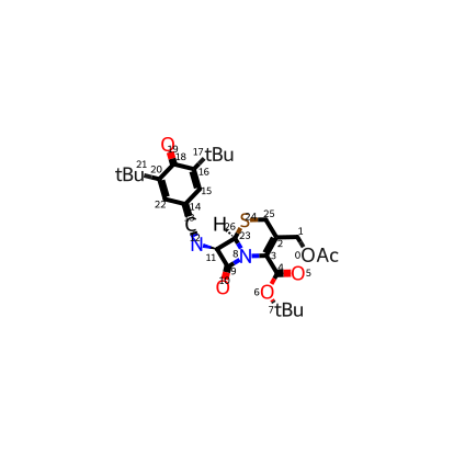 CC(=O)OCC1=C(C(=O)OC(C)(C)C)N2C(=O)[C@@H](N=C=C3C=C(C(C)(C)C)C(=O)C(C(C)(C)C)=C3)[C@H]2SC1